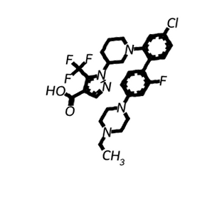 CCN1CCN(c2ccc(-c3ccc(Cl)cc3N3CCCC(n4ncc(C(=O)O)c4C(F)(F)F)C3)c(F)c2)CC1